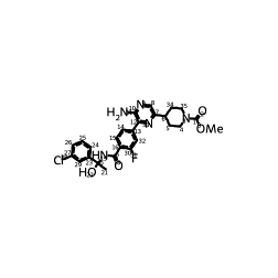 COC(=O)N1CCC(c2cnc(N)c(-c3ccc(C(=O)NC(C)(O)c4cccc(Cl)c4)c(F)c3)n2)CC1